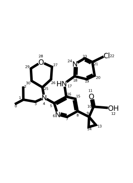 CC(C)CN(c1ncc(C2(C(=O)O)CC2)cc1Nc1ccc(Cl)cn1)C1CCOCC1